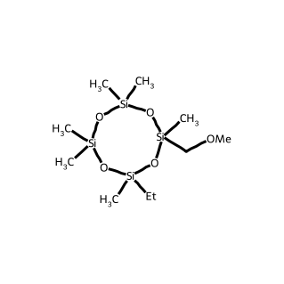 CC[Si]1(C)O[Si](C)(C)O[Si](C)(C)O[Si](C)(COC)O1